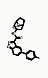 CN1C2CCC1CC(NC(=O)C1=NN=C3CC=C(c4ccc(F)cc4)C=C31)C2